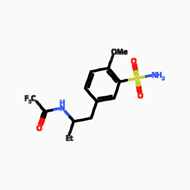 CCC(Cc1ccc(OC)c(S(N)(=O)=O)c1)NC(=O)C(F)(F)F